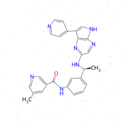 Cc1cncc(C(=O)Nc2cccc([C@H](C)Nc3cnc4[nH]cc(-c5ccncc5)c4n3)c2)c1